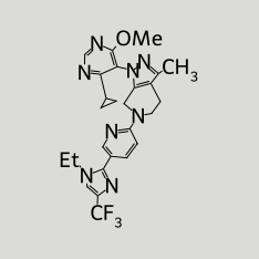 CCn1cc(C(F)(F)F)nc1-c1ccc(N2CCc3c(C)nn(-c4c(OC)ncnc4C4CC4)c3C2)nc1